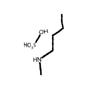 CCCCNC.O=S(=O)(O)O